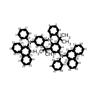 CC1(C)c2ccccc2N2c3ccc(N(c4ccccc4)c4cc5ccccc5c5ccccc45)cc3C(C)(C)c3cc(N(c4ccccc4)c4cc5ccccc5c5ccccc45)cc1c32